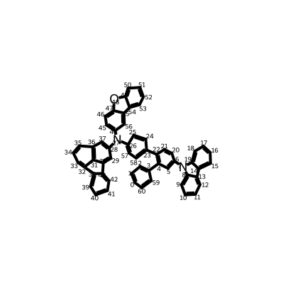 c1ccc(-c2cc(-n3c4ccccc4c4ccccc43)ccc2-c2ccc(N(c3cc4c5c(cccc5c3)-c3ccccc3-4)c3ccc4oc5ccccc5c4c3)cc2)cc1